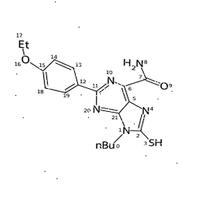 CCCCn1c(S)nc2c(C(N)=O)nc(-c3ccc(OCC)cc3)nc21